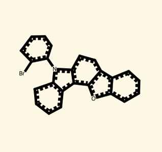 Brc1ccccc1-n1c2ccccc2c2c3oc4ccccc4c3ccc21